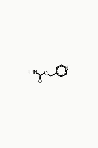 [NH]C(=O)OCc1ccncc1